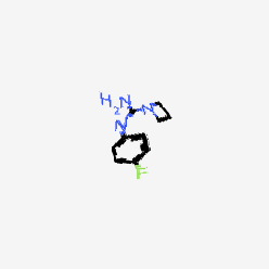 NC(=Nc1ccc(F)cc1)N1CCC1